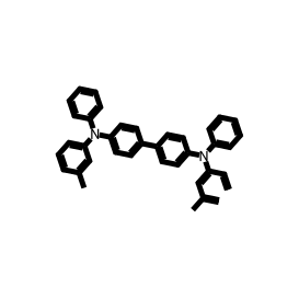 C=C/C(=C\C(=C)C)N(c1ccccc1)c1ccc(-c2ccc(N(c3ccccc3)c3cccc(C)c3)cc2)cc1